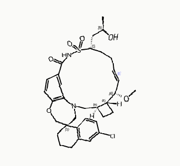 CO[C@H]1/C=C/CC[C@@H](C[C@@H](C)O)S(=O)(=O)NC(=O)c2ccc3c(c2)N(C[C@@H]2CC[C@H]21)C[C@@]1(CCCc2cc(Cl)ccc21)CO3